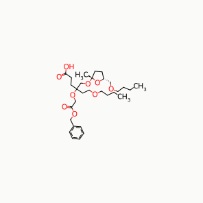 CCCCOCCC(CCC(=O)O)(CO[C@]1(C)CC[C@H](COCCCC)O1)OCC(=O)OCc1ccccc1